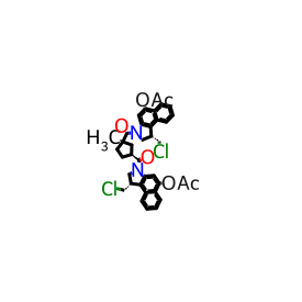 CC(=O)Oc1cc2c(c3ccccc13)[C@H](CCl)CN2C(=O)[C@H]1CC[C@@](C)(C(=O)N2C[C@@H](CCl)c3c2cc(OC(C)=O)c2ccccc32)C1